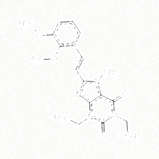 CCn1c(=O)c2c(nc(/C=C/c3cccc(OC)c3OC)n2C)n(CC)c1=O